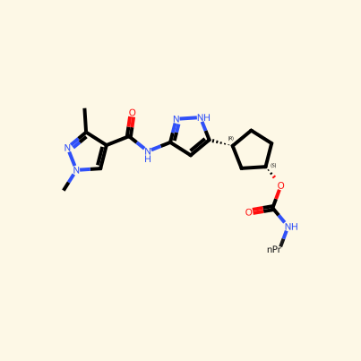 CCCNC(=O)O[C@H]1CC[C@@H](c2cc(NC(=O)c3cn(C)nc3C)n[nH]2)C1